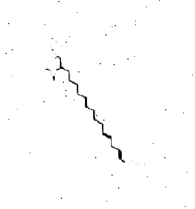 CCCCCC=CCC=CCCCCCCCCCC(COCCCCCCCCCC)N(C)C